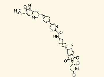 CCc1cc2ncc(CN3CC=C(c4ccc(C(=O)NC5CC6(C5)CN(c5cc7c(cc5F)C(=O)N(C5CCC(=O)NC5=O)C7=O)C6)nc4)CC3)cc2[nH]c1=O